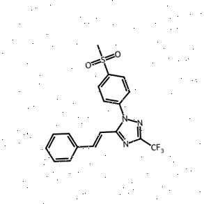 CS(=O)(=O)c1ccc(-n2nc(C(F)(F)F)nc2/C=C/c2ccccc2)cc1